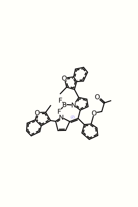 CC(=O)COc1ccccc1/C(=C1\C=CC(c2c(C)oc3ccccc23)=N1)c1ccc(-c2c(C)oc3ccccc23)n1B(F)F